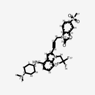 CN(C)[C@H]1CC[C@@H](Nc2cccc3c2cc(C#CCn2c(=O)oc4cc(S(C)(=O)=O)ccc42)n3CC(F)(F)F)CC1